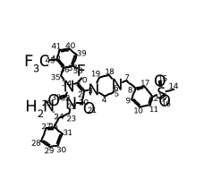 Cc1c(N2CCN(Cc3cccc(S(C)(=O)=O)c3)CC2)c(=O)n(C[C@@H](N)c2ccccc2)c(=O)n1Cc1c(F)cccc1C(F)(F)F